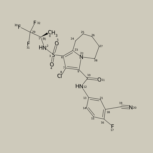 C[C@@H](NS(=O)(=O)c1c(Cl)c(C(=O)Nc2ccc(F)c(C#N)c2)n2c1CCCCC2)C(F)(F)F